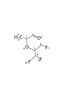 CC(C=O)OC(CF)C(F)F